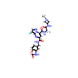 CC(=O)N1CC(NC(=O)[C@H](C)NC(=O)c2cc(C(=O)NCc3ccc4oc(=O)[nH]c4c3)nc3c(F)cnn23)C1